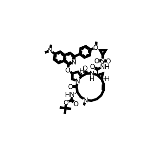 COc1ccc(-c2cc3cc(N(C)C)ccc3c(OC3C[C@H]4C(=O)N[C@]5(C(=O)NS(=O)(=O)C6CC6)C[C@H]5/C=C\CCCN(C)C[C@H](NC(=O)OC(C)(C)C)C(=O)N4C3)n2)cc1